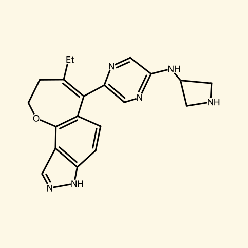 CCC1=C(c2cnc(NC3CNC3)cn2)c2ccc3[nH]ncc3c2OCC1